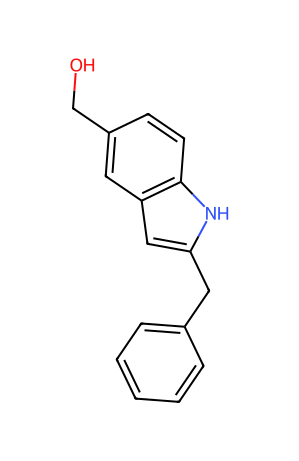 OCc1ccc2[nH]c(Cc3ccccc3)cc2c1